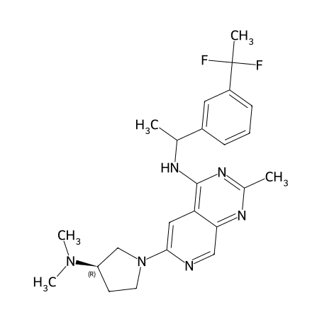 Cc1nc(NC(C)c2cccc(C(C)(F)F)c2)c2cc(N3CC[C@@H](N(C)C)C3)ncc2n1